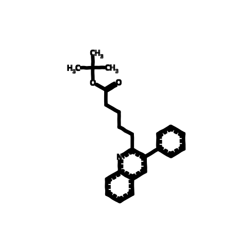 CC(C)(C)OC(=O)CCCCc1nc2ccccc2cc1-c1ccccc1